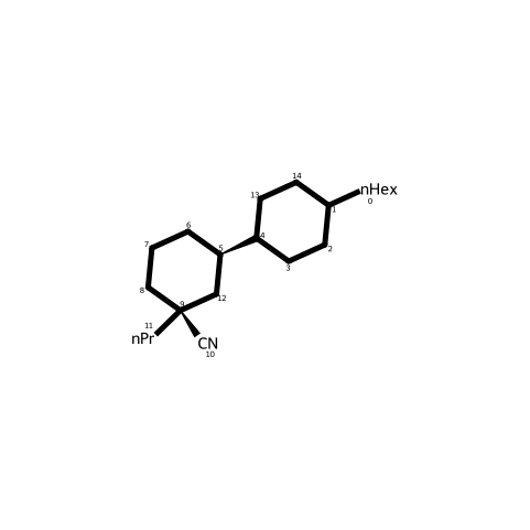 CCCCCCC1CCC([C@@H]2CCC[C@@](C#N)(CCC)C2)CC1